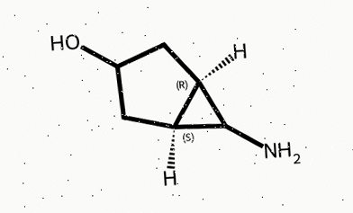 NC1[C@H]2CC(O)C[C@@H]12